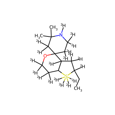 [2H]N1C([2H])([2H])C([2H])([2H])C2(OC([2H])([2H])C([2H])([2H])C3C2([2H])C([2H])([2H])C([2H])(CC)S3([2H])([2H])([2H])[2H])C([2H])([2H])C1(C)C